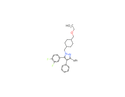 CCCc1nn(CC2CCC(COCC(=O)O)CC2)c(-c2ccc(F)c(F)c2)c1-c1ccccc1